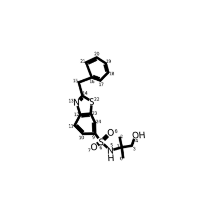 CC(C)(CO)NS(=O)(=O)c1ccc2nc(Cc3ccccc3)sc2c1